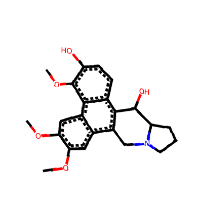 COc1cc2c3c(c4ccc(O)c(OC)c4c2cc1OC)C(O)C1CCCN1C3